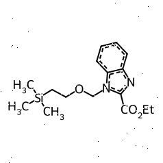 CCOC(=O)c1nc2ccccc2n1COCC[Si](C)(C)C